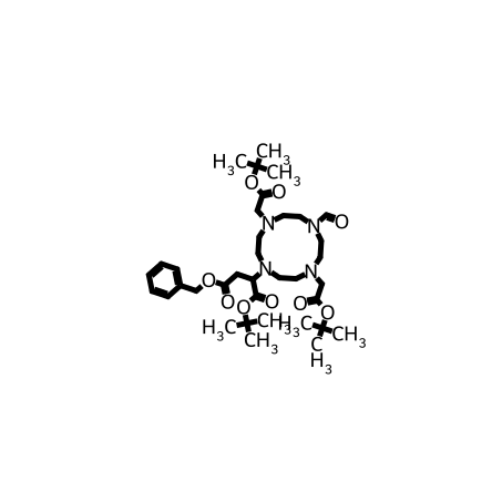 CC(C)(C)OC(=O)CN1CCN(C=O)CCN(CC(=O)OC(C)(C)C)CCN(C(CC(=O)OCc2ccccc2)C(=O)OC(C)(C)C)CC1